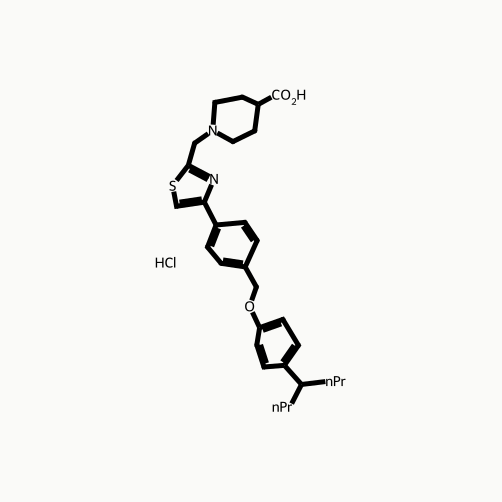 CCCC(CCC)c1ccc(OCc2ccc(-c3csc(CN4CCC(C(=O)O)CC4)n3)cc2)cc1.Cl